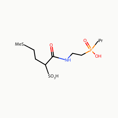 CSCCC(C(=O)NCCP(=O)(O)C(C)C)S(=O)(=O)O